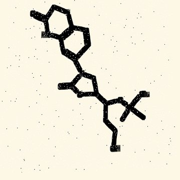 CC(C)(C)[Si](C)(C)OC(CCO)C1CN(c2ccc3c(c2)NC(=O)CS3)C(=O)O1